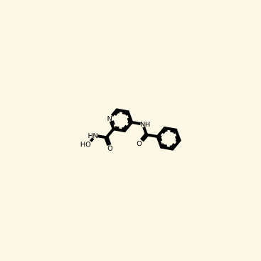 O=C(Nc1ccnc(C(=O)NO)c1)c1ccccc1